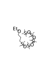 [CH2]COCCC[Si](C)(C)O[Si](C)(C)O[Si](C)(C)O[Si](C)(C)O[Si](C)(C)C